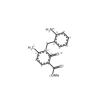 COC(=O)c1ccc(C)n(Cc2ccccc2N)c1=O